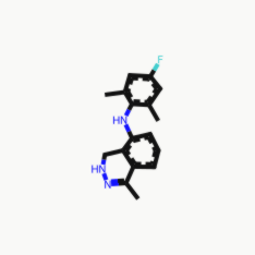 CC1=NNCc2c(Nc3c(C)cc(F)cc3C)cccc21